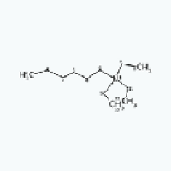 CCCCCC[N+](CC)(CC)CC